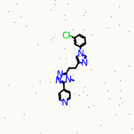 Cn1c(CCc2cn(-c3cccc(Cl)c3)cn2)nnc1-c1ccncc1